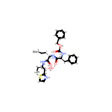 CSCC[C@H](NC(=O)[C@H](Cc1ccccc1)NC(=O)OCc1ccccc1)C(=O)N[C@H](CC(C)C)[C@H](O)c1nccs1